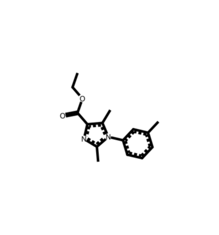 CCOC(=O)c1nc(C)n(-c2cccc(C)c2)c1C